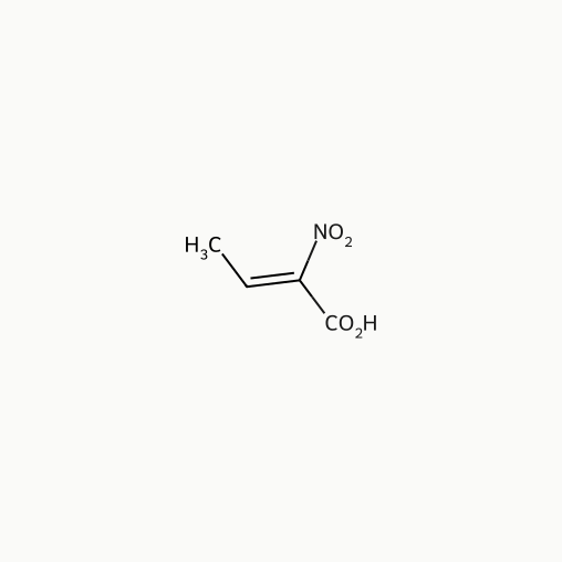 CC=C(C(=O)O)[N+](=O)[O-]